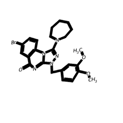 COc1ccc(Cn2nc(N3CCCCCC3)n3c4ccc(Br)cc4c(=O)nc23)cc1OC